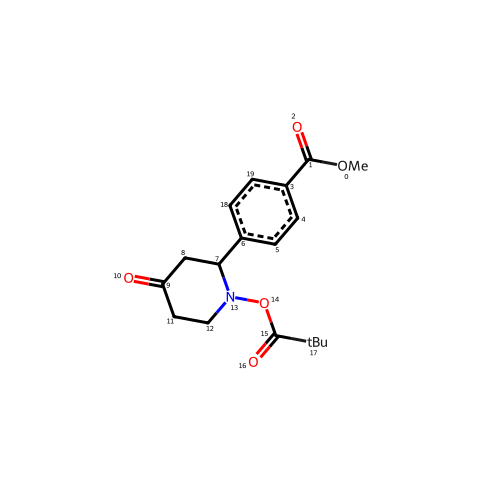 COC(=O)c1ccc(C2CC(=O)CCN2OC(=O)C(C)(C)C)cc1